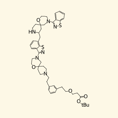 CC(C)(C)OC(=O)CCOCCc1cccc(CCN2CCC3(CC2)CN(c2nsc4c(CC5CC6(CCN5)CN(c5nsc7ccccc57)CCO6)cccc24)CCO3)c1